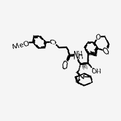 COc1ccc(OCCC(=O)N[C@H](CN2C3CCC2CC3)C(O)c2ccc3c(c2)OCCO3)cc1